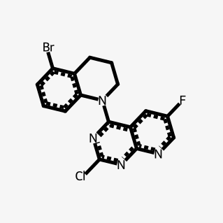 Fc1cnc2nc(Cl)nc(N3CCCc4c(Br)cccc43)c2c1